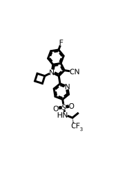 C[C@@H](NS(=O)(=O)c1ccc(-c2c(C#N)c3cc(F)ccc3n2C2CCC2)nc1)C(F)(F)F